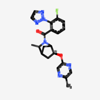 CC1C2CC([C@@H](Oc3cnc(C(F)(F)F)cn3)C2)N1C(=O)c1cccc(F)c1-n1nccn1